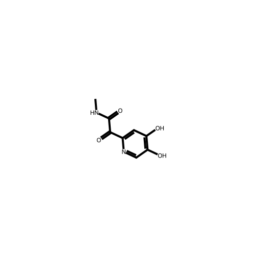 CNC(=O)C(=O)c1cc(O)c(O)cn1